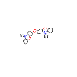 CCN1c2ccccc2Oc2cc(Oc3ccc4c(c3)Oc3ccccc3N4CC)ccc21